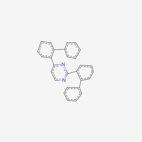 c1ccc(-c2ccccc2-c2ccnc(-c3ccccc3-c3ccccc3)n2)cc1